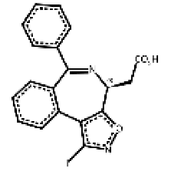 O=C(O)C[C@@H]1N=C(c2ccccc2)c2ccccc2-c2c(I)noc21